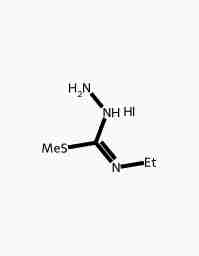 CCN=C(NN)SC.I